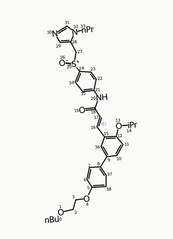 CCCCOCCOc1ccc(-c2ccc(OC(C)C)c(/C=C/C(=O)Nc3ccc([S@@+]([O-])Cc4cncn4CCC)cc3)c2)cc1